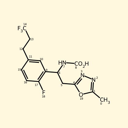 Cc1nnc(CC(NC(=O)O)c2cc(CCC(F)(F)F)ccc2F)o1